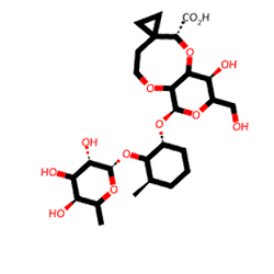 CC1O[C@@H](OC2[C@H](C)CCC[C@H]2O[C@@H]2OC(CO)[C@H](O)C3O[C@@H](C(=O)O)C4(CCOC32)CC4)[C@@H](O)C(O)[C@@H]1O